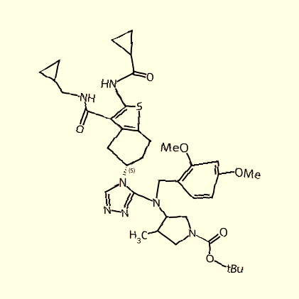 COc1ccc(CN(c2nncn2[C@H]2CCc3sc(NC(=O)C4CC4)c(C(=O)NCC4CC4)c3C2)C2CN(C(=O)OC(C)(C)C)CC2C)c(OC)c1